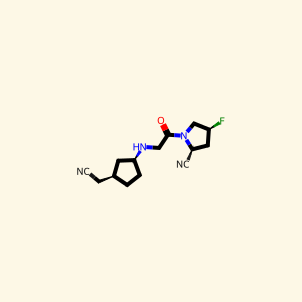 N#CC[C@@H]1CC[C@H](NCC(=O)N2C[C@@H](F)C[C@H]2C#N)C1